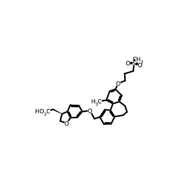 Cc1cc(OCCCS(C)(=O)=O)cc2c1-c1cc(COc3ccc4c(c3)OC[C@H]4CC(=O)O)ccc1CCC2